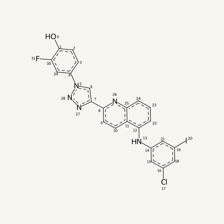 Oc1ccc(-n2cc(-c3ccc4c(Nc5cc(Cl)cc(I)c5)cccc4n3)nn2)cc1F